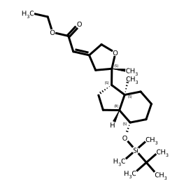 CCOC(=O)C=C1CO[C@](C)([C@H]2CC[C@H]3[C@@H](O[Si](C)(C)C(C)(C)C)CCC[C@@]32C)C1